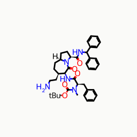 CN(C(=O)OC(C)(C)C)[C@H](Cc1ccccc1)C(=O)N[C@@H]1C(=O)N2[C@@H](CC[C@@H]1CCN)CC[C@H]2C(=O)NC(c1ccccc1)c1ccccc1